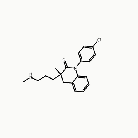 CNCCCC1(C)Cc2ccccc2N(c2ccc(Cl)cc2)C1=O